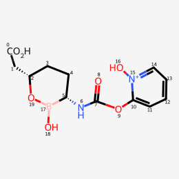 O=C(O)C[C@@H]1CC[C@H](NC(=O)Oc2cccc[n+]2O)B(O)O1